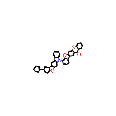 O=c1c2ccccc2sc2cc3oc4c(-n5c6ccccc6c6cc7c(cc65)oc5ccc(-c6ccccc6)cc57)cccc4c3cc12